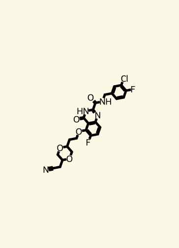 N#CCC1COC(CCOc2c(F)ccc3nc(C(=O)NCc4ccc(F)c(Cl)c4)[nH]c(=O)c23)CO1